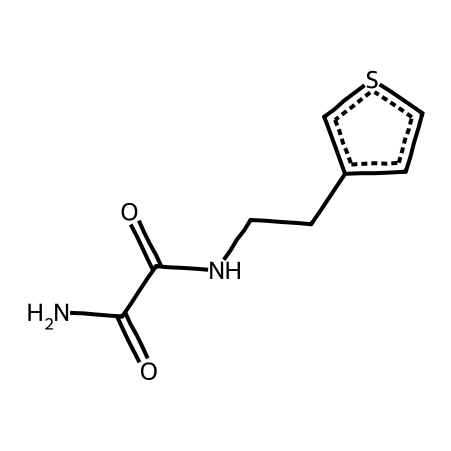 NC(=O)C(=O)NCCc1ccsc1